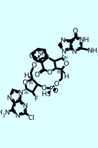 Nc1nc2c(ncn2[C@@H]2O[C@@H]3COP(=O)(S)OC4C(F)[C@H](n5cnc6c(N)nc(Cl)nc65)O[C@@H]4COP(=O)(S)OC2C3OC(=O)c2ccccc2)c(=O)[nH]1